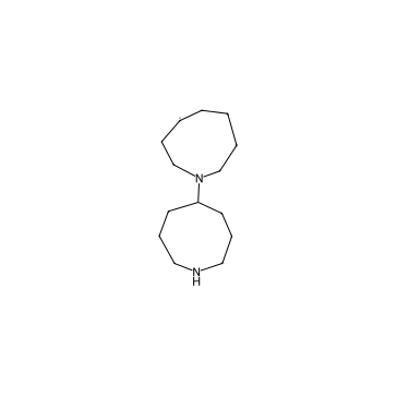 [CH]1CCCCN(C2CCCNCCC2)CC1